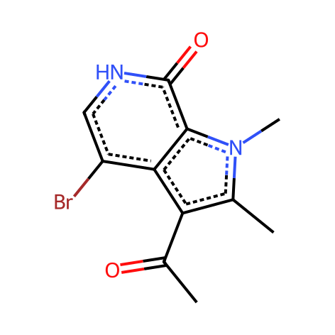 CC(=O)c1c(C)n(C)c2c(=O)[nH]cc(Br)c12